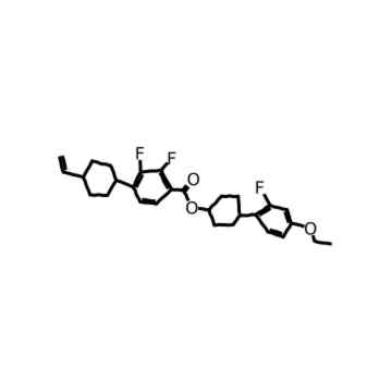 C=CC1CCC(c2ccc(C(=O)OC3CCC(c4ccc(OCC)cc4F)CC3)c(F)c2F)CC1